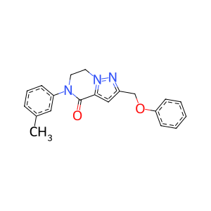 Cc1cccc(N2CCn3nc(COc4ccccc4)cc3C2=O)c1